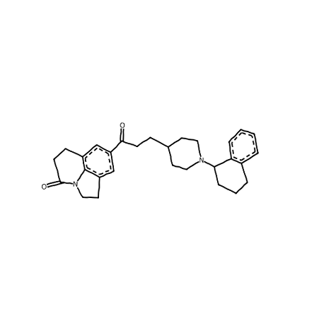 O=C(CCC1CCN(C2CCCc3ccccc32)CC1)c1cc2c3c(c1)CCN3C(=O)CC2